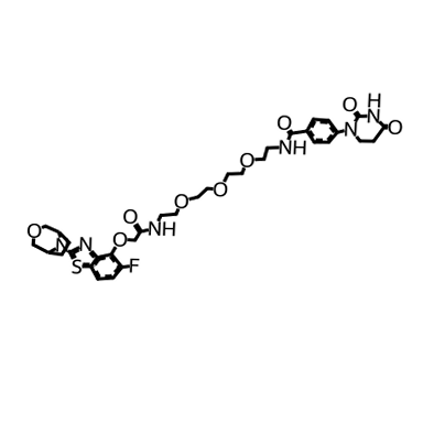 O=C(COc1c(F)ccc2sc(N3C4CCC3COC4)nc12)NCCOCCOCCOCCNC(=O)c1ccc(N2CCC(=O)NC2=O)cc1